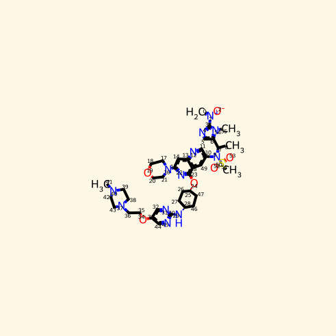 C=[N+]([O-])c1ncc(C(C)N(c2cnc3cc(N4CCOCC4)nc(O[C@H]4CC[C@@H](Nc5ncc(OCCN6CCN(C)CC6)cn5)CC4)c3c2)S(C)(=O)=O)n1C